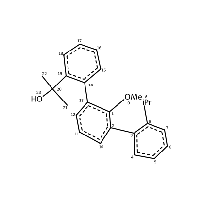 COc1c(-c2ccccc2C(C)C)cccc1-c1ccccc1C(C)(C)O